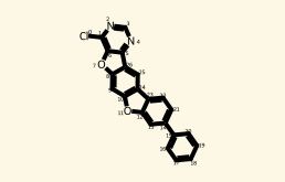 Clc1ncnc2c1oc1cc3oc4cc(-c5ccccc5)ccc4c3cc12